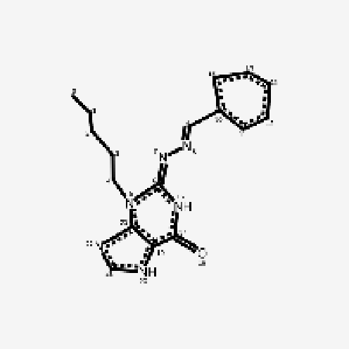 CCCCCn1/c(=N/N=Cc2ccccc2)[nH]c(=O)c2[nH]cnc21